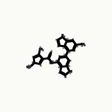 Cc1cn(C)nc1C(=O)Nc1cc(-c2cc(N)cc3[nH]ccc23)cc2[nH]ncc12